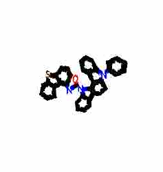 c1ccc(-n2c3ccccc3c3c2ccc2c4ccccc4n(-c4nc5c(ccc6sc7ccccc7c65)o4)c23)cc1